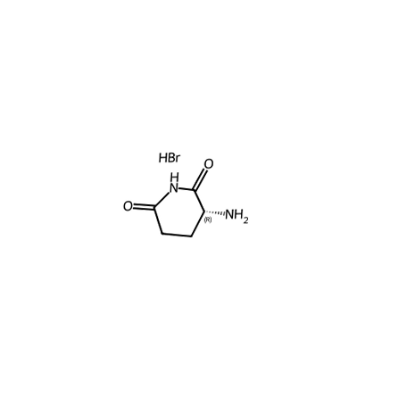 Br.N[C@@H]1CCC(=O)NC1=O